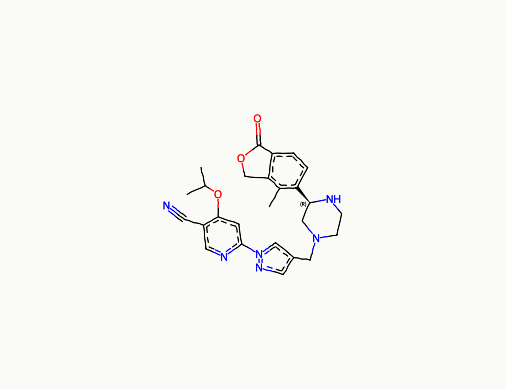 Cc1c([C@@H]2CN(Cc3cnn(-c4cc(OC(C)C)c(C#N)cn4)c3)CCN2)ccc2c1COC2=O